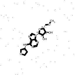 COC[C@H]1O[C@@H](n2cnc3c(N[C@@H]4CCOC4)ncnc32)[C@H](O)[C@@H]1O